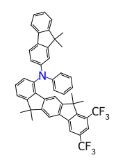 CC1(C)c2ccccc2-c2ccc(N(c3ccccc3)c3cccc4c3-c3cc5c(cc3C4(C)C)-c3cc(C(F)(F)F)cc(C(F)(F)F)c3C5(C)C)cc21